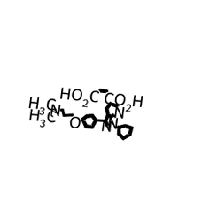 CN(C)CCCOc1ccc(-c2nn(-c3ccccc3)c3ncccc23)cc1.O=C(O)/C=C\C(=O)O